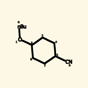 CCCCOC1CCC(C#N)CC1